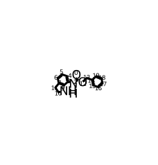 O=C(Nc1cccc2c1NCC2)OCc1ccccc1